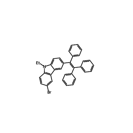 CCn1c2ccc(Br)cc2c2cc(C(=C(c3ccccc3)c3ccccc3)c3ccccc3)ccc21